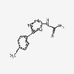 Cc1ccc(-c2nnc(NC(N)=S)o2)cc1